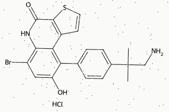 CC(C)(CN)c1ccc(-c2c(O)cc(Br)c3[nH]c(=O)c4sccc4c23)cc1.Cl